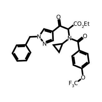 CCOC(=O)C(C(=O)c1cnn(Cc2ccccc2)c1)N(C(=O)c1ccc(OC(F)(F)F)cc1)C1CC1